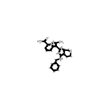 Cc1nn2c(C(N)=O)cccc2c1-c1nc2c(c(NCc3ccccc3)n1)CCOC2